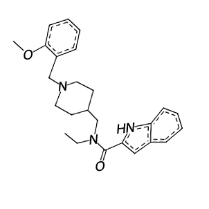 CCN(CC1CCN(Cc2ccccc2OC)CC1)C(=O)c1cc2ccccc2[nH]1